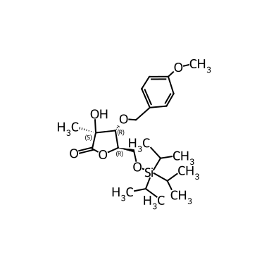 COc1ccc(CO[C@@H]2[C@@H](CO[Si](C(C)C)(C(C)C)C(C)C)OC(=O)[C@@]2(C)O)cc1